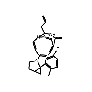 C=CCC1NC(=C)c2cnc(N3CCC4CC43c3cc(F)ccc3C)ccn1nc2